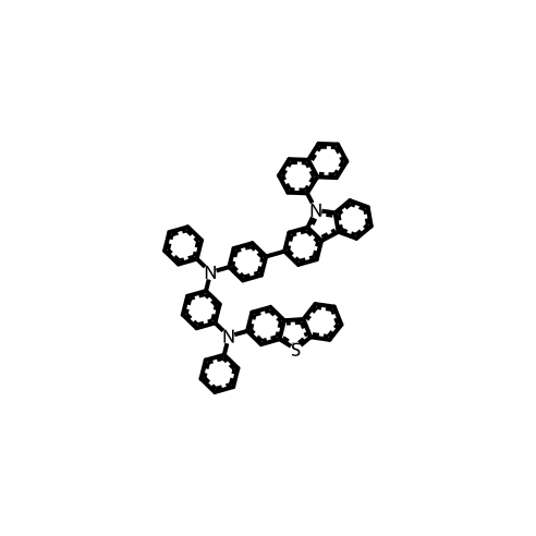 c1ccc(N(c2ccc(-c3ccc4c5ccccc5n(-c5cccc6ccccc56)c4c3)cc2)c2cccc(N(c3ccccc3)c3ccc4c(c3)sc3ccccc34)c2)cc1